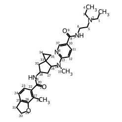 CCN(CC)CCNC(=O)c1ccc(N(C)C2CC(NC(=O)c3ccc4c(c3C)OCC4)CC23CC3)nc1